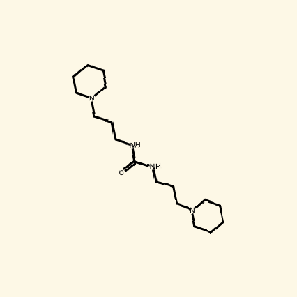 O=C(NCCCN1CCCCC1)NCCCN1CCCCC1